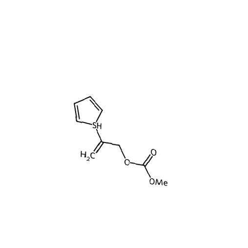 C=C(COC(=O)OC)[SH]1C=CC=C1